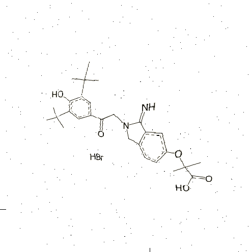 Br.CC(C)(Oc1ccc2c(c1)C(=N)N(CC(=O)c1cc(C(C)(C)C)c(O)c(C(C)(C)C)c1)C2)C(=O)O